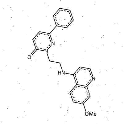 COc1ccc2c(NCCn3nc(-c4ccccc4)ccc3=O)ccnc2c1